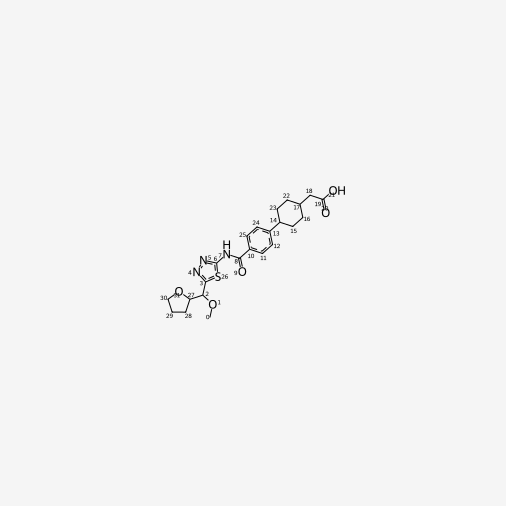 COC(c1nnc(NC(=O)c2ccc(C3CCC(CC(=O)O)CC3)cc2)s1)C1CCCO1